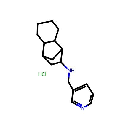 Cl.c1cncc(CNC2CC3CC2C2CCCCC32)c1